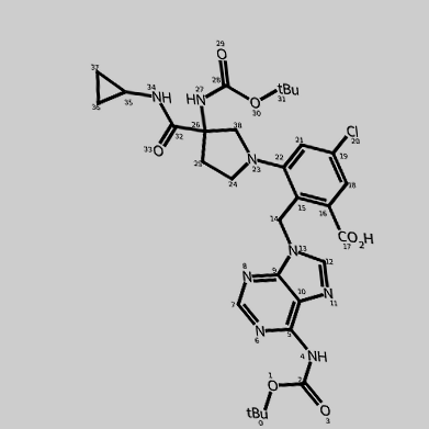 CC(C)(C)OC(=O)Nc1ncnc2c1ncn2Cc1c(C(=O)O)cc(Cl)cc1N1CCC(NC(=O)OC(C)(C)C)(C(=O)NC2CC2)C1